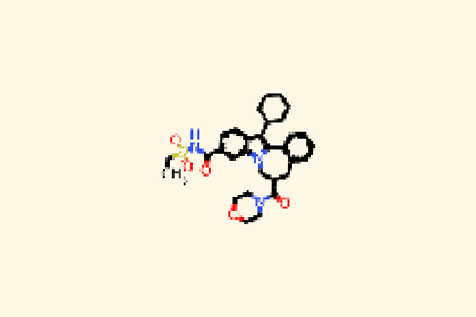 CCS(=O)(=O)NC(=O)c1ccc2c(C3CCCCC3)c3n(c2c1)CC(C(=O)N1CCOCC1)Cc1ccccc1-3